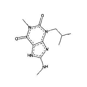 CNc1nc2c([nH]1)c(=O)n(C)c(=O)n2CC(C)C